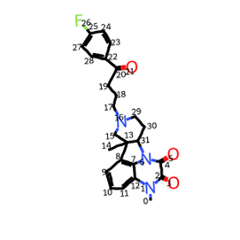 Cn1c(=O)c(=O)n2c3c(cccc31)C1(C)CN(CCCC(=O)c3ccc(F)cc3)CCC21